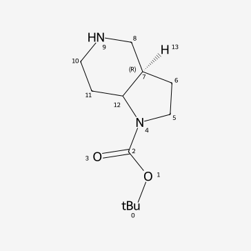 CC(C)(C)OC(=O)N1CC[C@@H]2CNCCC21